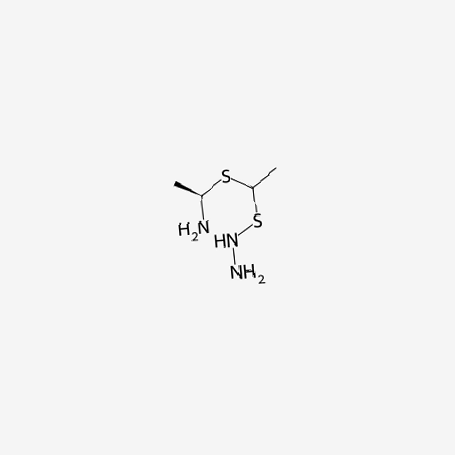 CC(SNN)S[C@H](C)N